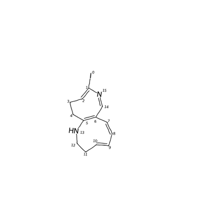 IC1=C\CCC2=C(/C=C\C=C\CCN2)/C=N\1